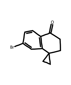 O=C1CCC2(CC2)c2cc(Br)ccc21